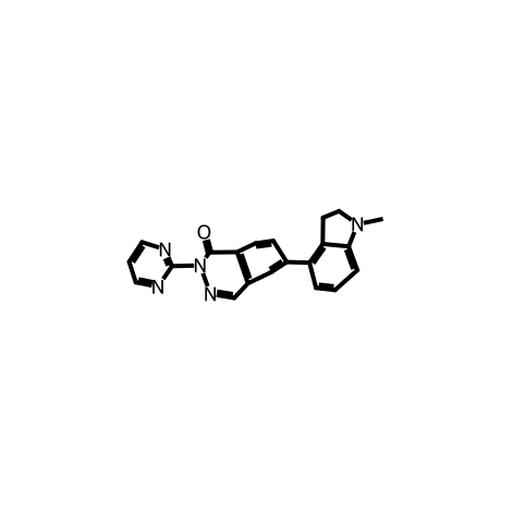 CN1CCc2c(-c3ccc4c(=O)n(-c5ncccn5)ncc4c3)cccc21